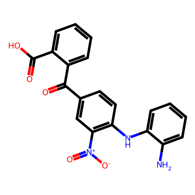 Nc1ccccc1Nc1ccc(C(=O)c2ccccc2C(=O)O)cc1[N+](=O)[O-]